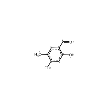 Cc1cc(C=O)c(O)cc1Cl